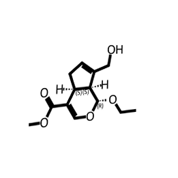 CCO[C@@H]1OC=C(C(=O)OC)[C@H]2CC=C(CO)[C@@H]12